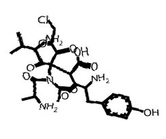 CC(=O)N(C(=O)C(C)N)C(C(=O)C(=O)CCl)(C(=O)C(N)C(C)C)C(C(=O)O)C(=O)C(N)Cc1ccc(O)cc1